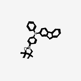 CC1(C)CB(c2ccc(N(c3ccccc3)c3ccc4c(c3)Cc3ccccc3-4)cc2)OC1(C)C